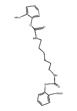 CCCCCCCCCc1ccccc1OC(=O)NCCCCCCNC(=O)Oc1ccccc1CCCCCCCCC